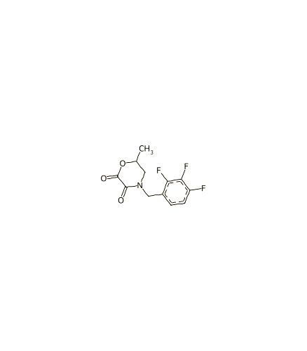 CC1CN(Cc2ccc(F)c(F)c2F)C(=O)C(=O)O1